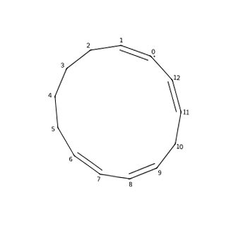 [C]1=CCCCCC=CC=CCC=C1